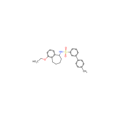 Cc1ccc(-c2cccc(S(=O)(=O)NC3CCCCc4c(OCC(=O)O)cccc43)c2)cc1